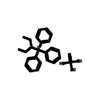 CCC(CC)[PH](c1ccccc1)(c1ccccc1)c1ccccc1.O=P(O)(O)O